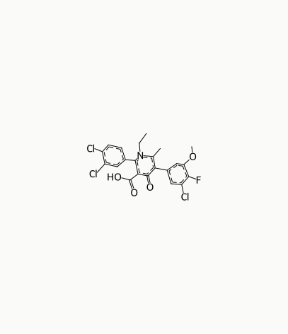 CCn1c(C)c(-c2cc(Cl)c(F)c(OC)c2)c(=O)c(C(=O)O)c1-c1ccc(Cl)c(Cl)c1